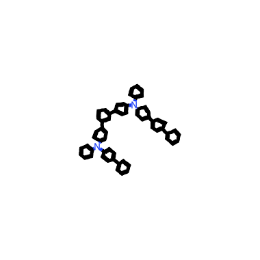 c1ccc(-c2ccc(-c3ccc(N(c4ccccc4)c4ccc(-c5cccc(-c6ccc(N(c7ccccc7)c7ccc(-c8ccccc8)cc7)cc6)c5)cc4)cc3)cc2)cc1